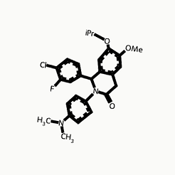 COc1cc2c(cc1OC(C)C)C(c1ccc(Cl)c(F)c1)N(c1ccc(N(C)C)cc1)C(=O)C2